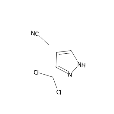 CC#N.ClCCl.c1cn[nH]c1